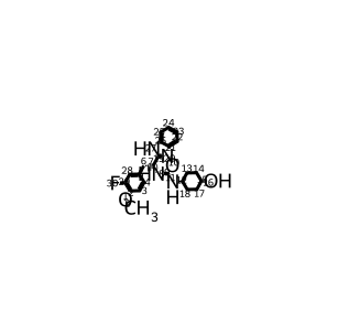 COc1ccc(C[C@@H](NC(=O)N[C@H]2CC[C@H](O)CC2)c2nc3ccccc3[nH]2)cc1F